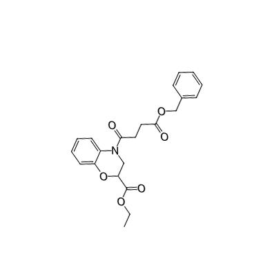 CCOC(=O)C1CN(C(=O)CCC(=O)OCc2ccccc2)c2ccccc2O1